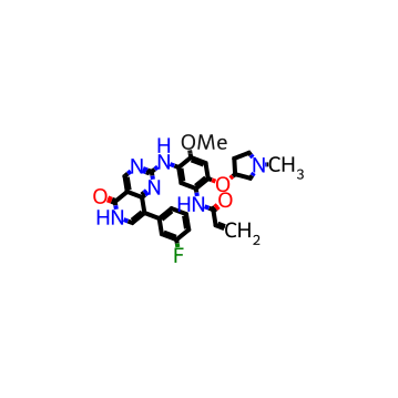 C=CC(=O)Nc1cc(Nc2ncc3c(=O)[nH]cc(-c4cccc(F)c4)c3n2)c(OC)cc1OC1CCN(C)C1